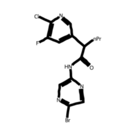 CCCC(C(=O)Nc1cnc(Br)cn1)c1cnc(Cl)c(F)c1